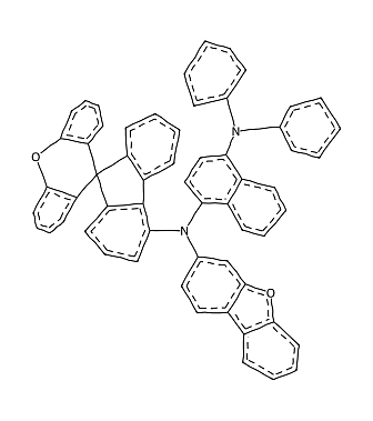 c1ccc(N(c2ccccc2)c2ccc(N(c3ccc4c(c3)oc3ccccc34)c3cccc4c3-c3ccccc3C43c4ccccc4Oc4ccccc43)c3ccccc23)cc1